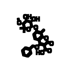 CO[C@@H]1[C@@H](O)[C@@H](O)[C@H](Oc2ccc3c(OCc4ccccc4)c(C(=O)O)c(=O)oc3c2C)OC1(C)C